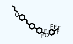 CCCCOC1CCC(/C=C/C2CCC(C3CCC(C(F)(F)Oc4ccc(C(F)(F)F)c(F)c4)CC3)CC2)CC1